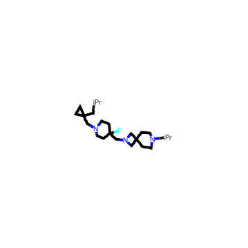 CC(C)CC1(CN2CCC(F)(CN3CC4(CCN(C(C)C)CC4)C3)CC2)CC1